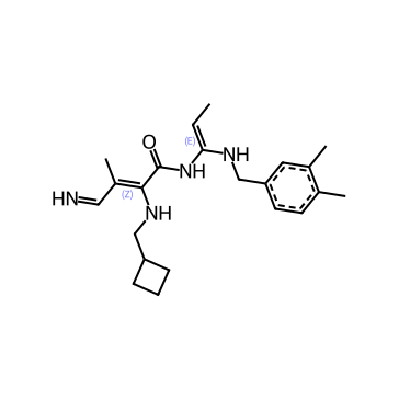 C/C=C(\NCc1ccc(C)c(C)c1)NC(=O)/C(NCC1CCC1)=C(\C)C=N